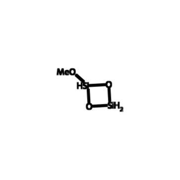 CO[SiH]1O[SiH2]O1